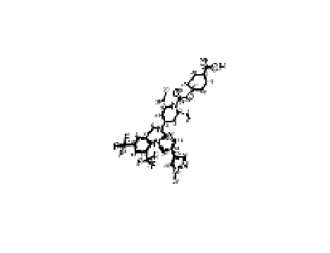 CC[C@@H]1CC(N(Cc2cc(C(F)(F)F)cc(C(F)(F)F)c2)c2ncc(-c3cnn(C)c3)cn2)C[C@H](CC)N1C(=O)OC1CCC(C(=O)O)CC1